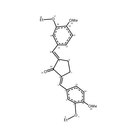 CCOc1cc(/C=C2\CC/C(=C\c3ccc(OC)c(OCC)c3)C2=O)ccc1OC